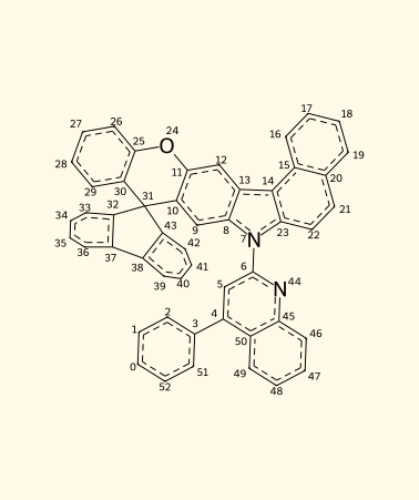 c1ccc(-c2cc(-n3c4cc5c(cc4c4c6ccccc6ccc43)Oc3ccccc3C53c4ccccc4-c4ccccc43)nc3ccccc23)cc1